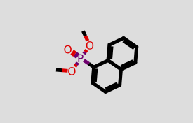 COP(=O)(OC)c1cccc2ccccc12